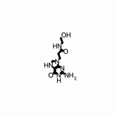 Nc1nc2c(c(=O)[nH]1)NCN2CCC(=O)NCCO